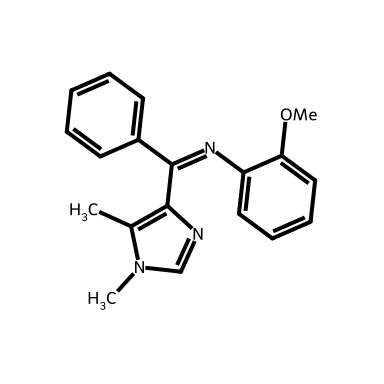 COc1ccccc1N=C(c1ccccc1)c1ncn(C)c1C